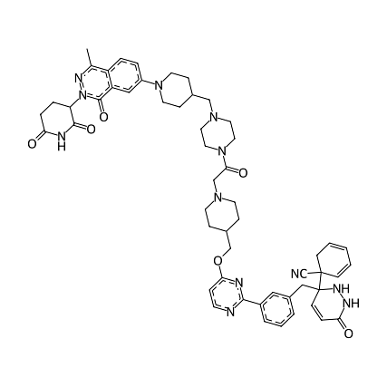 Cc1nn(C2CCC(=O)NC2=O)c(=O)c2cc(N3CCC(CN4CCN(C(=O)CN5CCC(COc6ccnc(-c7cccc(CC8(C9(C#N)C=CC=CC9)C=CC(=O)NN8)c7)n6)CC5)CC4)CC3)ccc12